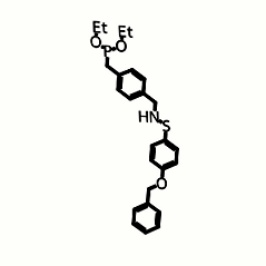 CCOP(Cc1ccc(CNSc2ccc(OCc3ccccc3)cc2)cc1)OCC